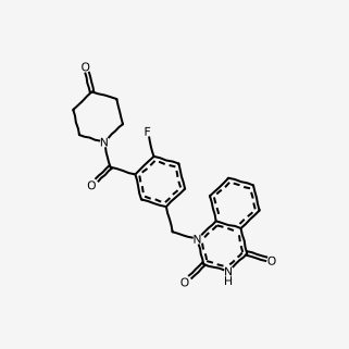 O=C1CCN(C(=O)c2cc(Cn3c(=O)[nH]c(=O)c4ccccc43)ccc2F)CC1